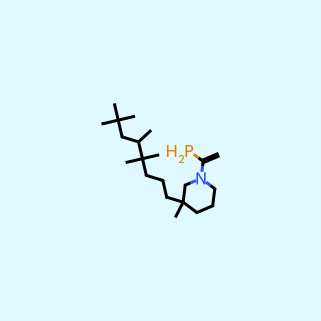 C=C(P)N1CCCC(C)(CCCC(C)(C)C(C)CC(C)(C)C)C1